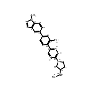 Cn1ncc2cc(-c3ccc(-c4cnc(N5CCC(NC(C)(C)C)C5)nn4)c(O)c3)ccc21